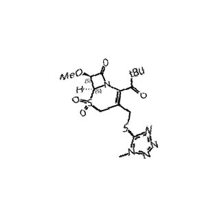 CO[C@H]1C(=O)N2C(C(=O)C(C)(C)C)=C(CSc3nnnn3C)CS(=O)(=O)[C@@H]12